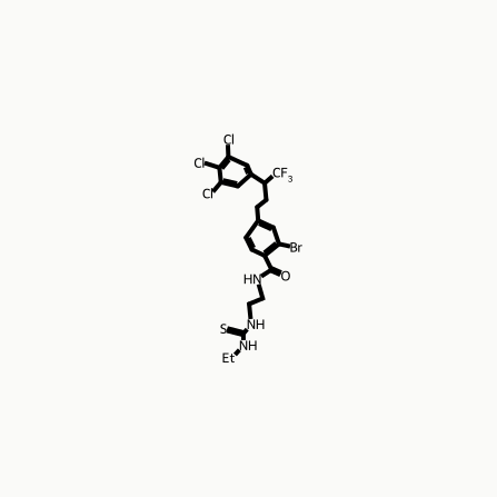 CCNC(=S)NCCNC(=O)c1ccc(CCC(c2cc(Cl)c(Cl)c(Cl)c2)C(F)(F)F)cc1Br